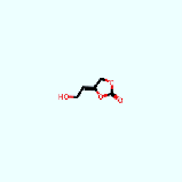 O=C1OC/C(=C/CO)O1